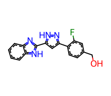 OCc1ccc(-c2cc(-c3nc4ccccc4[nH]3)[nH]n2)c(F)c1